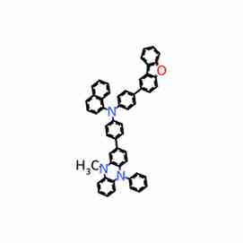 CN1c2ccccc2N(c2ccccc2)c2ccc(-c3ccc(N(c4ccc(-c5ccc6oc7ccccc7c6c5)cc4)c4cccc5ccccc45)cc3)cc21